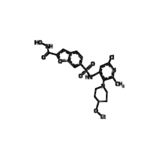 CCOC1CCN(c2c(NS(=O)(=O)c3ccc4cc(C(=O)NO)oc4c3)cc(Cl)nc2C)CC1